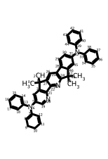 CC1(C)c2cc(N(C3=CCCC=C3)c3ccccc3)cnc2-c2nc3c(cc21)-c1ccc(N(c2ccccc2)c2ccccc2)cc1C3(C)C